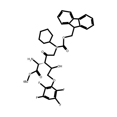 CC(C)(C)OC(=O)C(N)[C@H](C(=O)CN(C(=O)OCC1c2ccccc2-c2ccccc21)C1CCCCC1)C(O)COc1c(F)c(F)cc(F)c1F